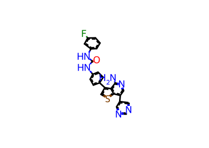 Nc1ncc(-c2cncnc2)c2scc(-c3ccc(NC(=O)Nc4cccc(F)c4)cc3)c12